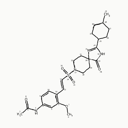 COc1cc(NC(C)=O)ccc1C=CS(=O)(=O)N1CCC2(CC1)N=C(C1CCC(C)CC1)NC2=O